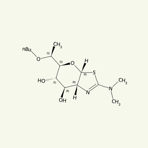 CCCCO[C@@H](C)[C@H]1O[C@@H]2SC(N(C)C)=N[C@@H]2[C@@H](O)[C@@H]1O